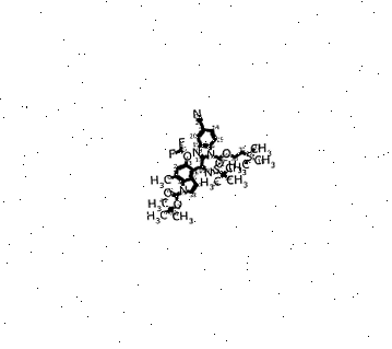 Cc1cc(OC(F)F)c(C(=N[S+]([O-])C(C)(C)C)c2nc3cc(C#N)ccc3n2COCC[Si](C)(C)C)c2ccn(C(=O)OC(C)(C)C)c12